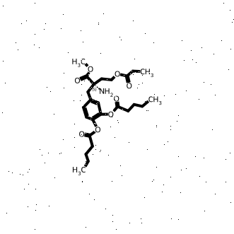 CCCCC(=O)Oc1ccc(C[C@](N)(CCOC(=O)CC)C(=O)OC)cc1OC(=O)CCCC